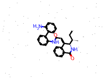 CC[C@H](C)[C@@H]1NC(=O)c2ccccc2C1=CC(=O)Nc1ccccc1-c1ccccc1N